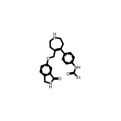 CCC(=O)Nc1ccc(C2=C(COc3ccc4c(c3)C(=O)NC4)CCNCC2)cc1